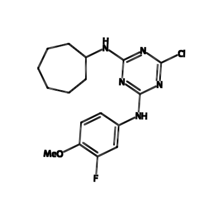 COc1ccc(Nc2nc(Cl)nc(NC3CCCCCC3)n2)cc1F